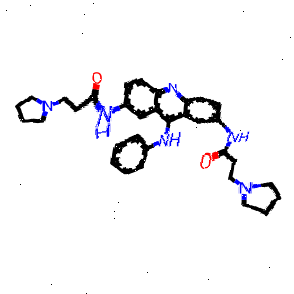 O=C(CCN1CCCC1)Nc1ccc2nc3ccc(NC(=O)CCN4CCCC4)cc3c(Nc3ccccc3)c2c1